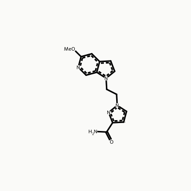 COc1cc2ccn(CCn3c[c]c(C(N)=O)n3)c2cn1